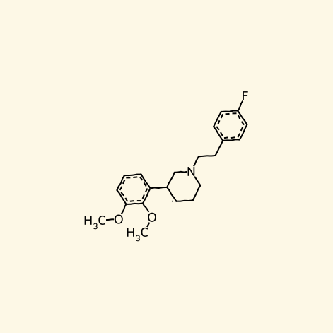 COc1cccc(C2[CH]CCN(CCc3ccc(F)cc3)C2)c1OC